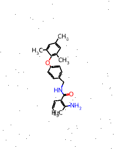 CC/C=C\C(C(=O)NCc1ccc(Oc2c(C)cc(C)cc2C)cc1)=C(/C)N